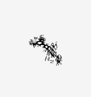 COC(=O)[C@@H]1CN(C(=O)OC(C)(C)C)CCN1Cc1cc(-c2cc(C(F)(F)F)cc(C(F)(F)F)c2)ccc1N